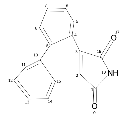 O=C1C=C(c2ccccc2-c2ccccc2)C(=O)N1